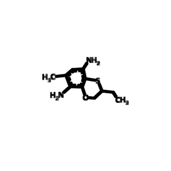 CCC1COc2c(N)c(C)cc(N)c2S1